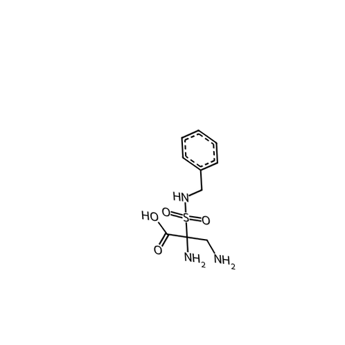 NCC(N)(C(=O)O)S(=O)(=O)NCc1ccccc1